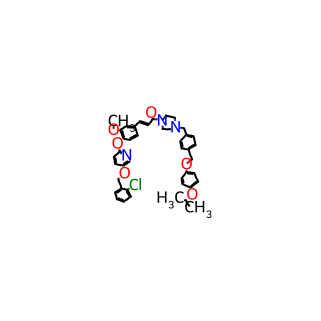 COc1cc(C=CC(=O)N2CCN(Cc3ccc(COc4ccc(OC(C)C)cc4)cc3)CC2)ccc1Oc1ccc(OCc2ccccc2Cl)cn1